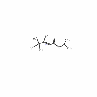 C/C(=C\C(=O)OC(C)C)C(C)(C)C